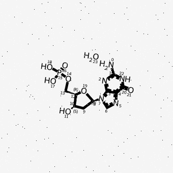 Nc1nc2c(ncn2[C@H]2C[C@H](O)[C@@H](COP(=O)(O)O)O2)c(=O)[nH]1.O